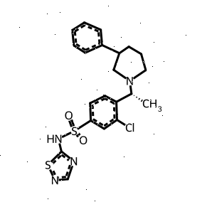 C[C@H](c1ccc(S(=O)(=O)Nc2ncns2)cc1Cl)N1CCCC(c2ccccc2)C1